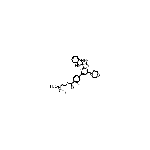 CN(C)CCNC(=O)c1ccc(-c2cc(N3CCOCC3)nc(C3(C(F)F)Nc4ccccc4N3)n2)cc1F